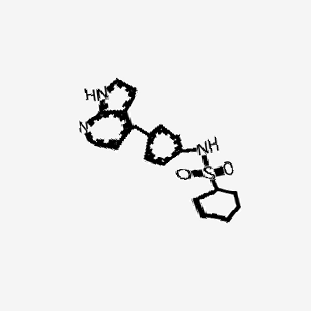 O=S(=O)(Nc1ccc(-c2ccnc3[nH]ccc23)cc1)C1CCCCC1